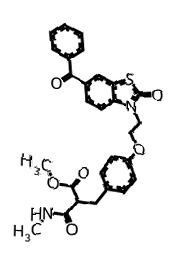 CNC(=O)C(Cc1ccc(OCCn2c(=O)sc3cc(C(=O)c4ccccc4)ccc32)cc1)C(=O)OC